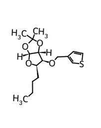 CCCC[C@H]1O[C@@H]2OC(C)(C)O[C@@H]2[C@H]1OCc1ccsc1